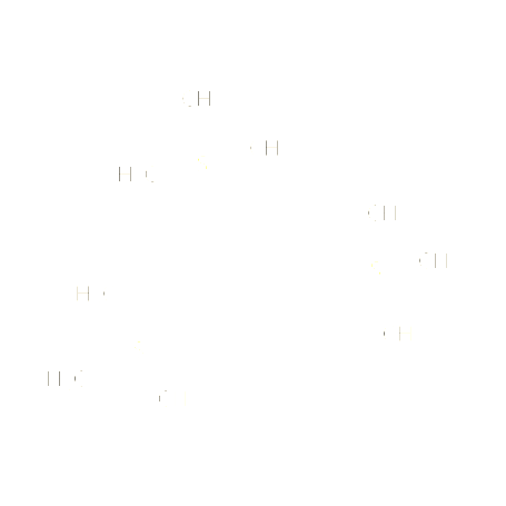 CS(C)(C)C1CCC(S(C)(C)C)CC(S(C)(C)C)C1